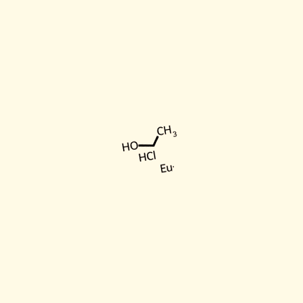 CCO.Cl.[Eu]